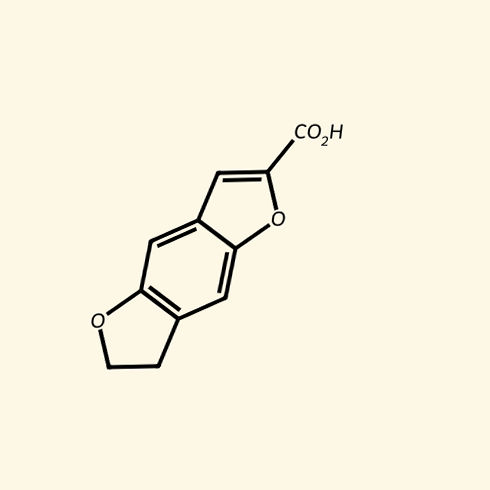 O=C(O)c1cc2cc3c(cc2o1)CCO3